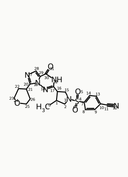 CC1CN(S(=O)(=O)c2ccc(C#N)cc2)CC1c1nn2c(C3CCOCC3)ncc2c(=O)[nH]1